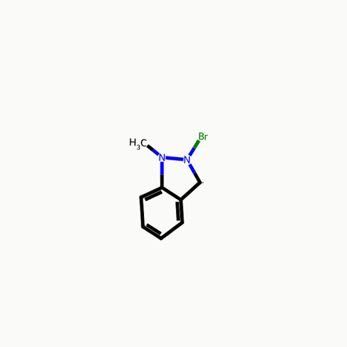 CN1c2ccccc2[CH]N1Br